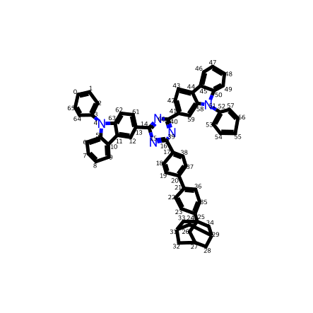 c1ccc(-n2c3ccccc3c3cc(-c4nc(-c5ccc(-c6ccc(C78CC9CC(CC(C9)C7)C8)cc6)cc5)nc(-c5ccc6c7ccccc7n(-c7ccccc7)c6c5)n4)ccc32)cc1